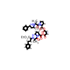 CCOC(=O)[C@H](CCc1ccccc1)N[C@@H](C)C(=O)N1CCC[C@H]1C(=O)OC(=O)/C=C\C(=O)OC(=O)[C@@H]1CCCN1C(=O)[C@H](C)N[C@@H](CCc1ccccc1)C(=O)OCC